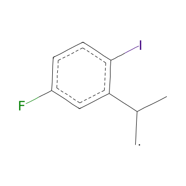 [CH2]C(C)c1cc(F)ccc1I